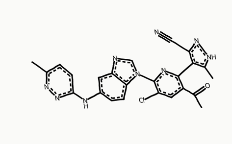 CC(=O)c1cc(Cl)c(-n2cnc3cc(Nc4ccc(C)nn4)ccc32)nc1-c1c(C#N)n[nH]c1C